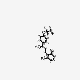 OC(CCc1c(Br)cccc1Br)c1ccc(OC(F)(F)C(F)F)cc1